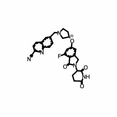 N#Cc1ccc2cc(CN3CC[C@H](Oc4cc(F)c5c(c4)CN(C4CCC(=O)NC4=O)C5=O)C3)ccc2n1